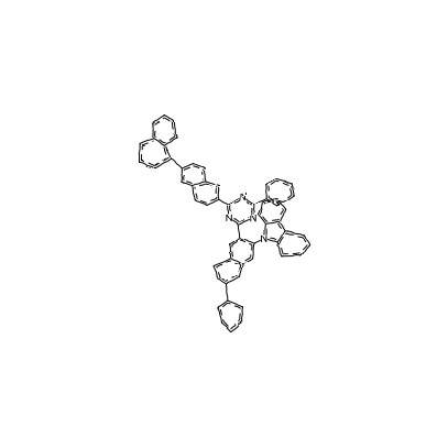 c1ccc(-c2ccc3cc(-c4nc(-c5ccccc5)nc(-c5ccc6cc(-c7cccc8ccccc78)ccc6c5)n4)c(-n4c5ccccc5c5ccccc54)cc3c2)cc1